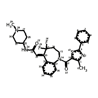 Cc1nc(-c2ccccc2)sc1C(=O)N1CCC(F)(F)C(=CC(=O)NC2CCN(C)CC2)c2ccccc21